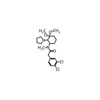 COC1(OC)CCCC(N(C)C(=O)Cc2ccc(Cl)c(Cl)c2)C1N1CCCC1